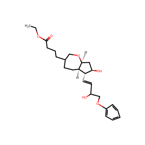 CCOC(=O)CCCC1CC[C@@H]2[C@@H](C=CC(O)COc3ccccc3)[C@H](O)C[C@@H]2OC1